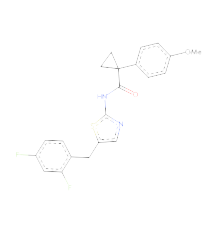 COc1ccc(C2(C(=O)Nc3ncc(Cc4ccc(F)cc4F)s3)CC2)cc1